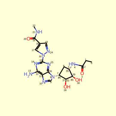 CCC(=O)N[C@H]1C[C@@H](n2cnc3c(N)nc(-n4cc(C(=O)NC)cn4)nc32)[C@H](O)[C@@H]1O